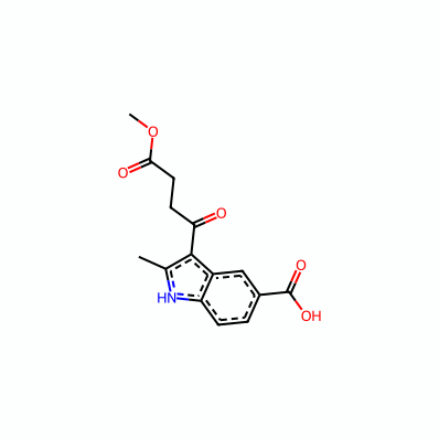 COC(=O)CCC(=O)c1c(C)[nH]c2ccc(C(=O)O)cc12